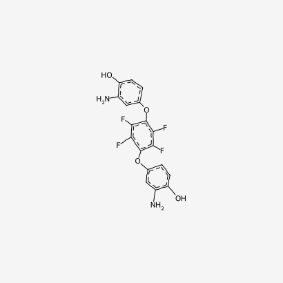 Nc1cc(Oc2c(F)c(F)c(Oc3ccc(O)c(N)c3)c(F)c2F)ccc1O